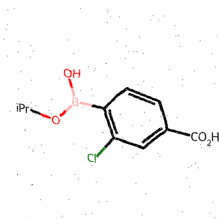 CC(C)OB(O)c1ccc(C(=O)O)cc1Cl